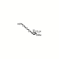 C#CCOCCOCCOCCN1C=CC(COC)(C(=O)O)N1